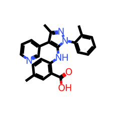 Cc1ccc(Nc2c(-c3cccnc3)c(C)nn2-c2ccccc2C)c(C(=O)O)c1